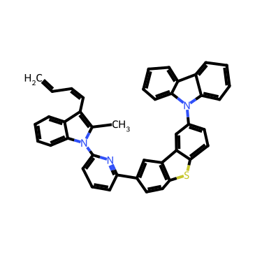 C=C/C=C\c1c(C)n(-c2cccc(-c3ccc4sc5ccc(-n6c7ccccc7c7ccccc76)cc5c4c3)n2)c2ccccc12